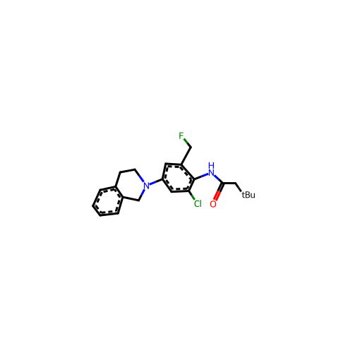 CC(C)(C)CC(=O)Nc1c(Cl)cc(N2CCc3ccccc3C2)cc1CF